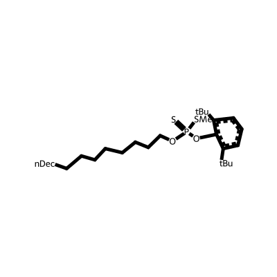 CCCCCCCCCCCCCCCCCCOP(=S)(Oc1c(C(C)(C)C)cccc1C(C)(C)C)SC